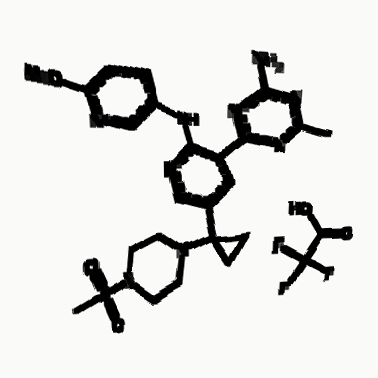 COc1ccc(Nc2ncc(C3(N4CCN(S(C)(=O)=O)CC4)CC3)cc2-c2nc(C)nc(N)n2)cn1.O=C(O)C(F)(F)F